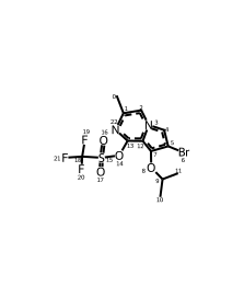 Cc1cn2cc(Br)c(OC(C)C)c2c(OS(=O)(=O)C(F)(F)F)n1